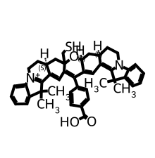 CC1(C)C2=C3C=C4C(c5ccc(C(=O)O)cc5)=C5C=C6C7=[N+](CC[C@H]6CC5(CS)O[C@H]4C[C@H]3CCN2c2ccccc21)c1ccccc1C7(C)C